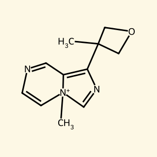 CC1(C2=C3C=NC=C[N+]3(C)C=N2)COC1